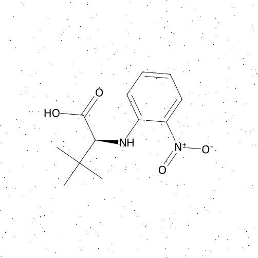 CC(C)(C)[C@H](Nc1ccccc1[N+](=O)[O-])C(=O)O